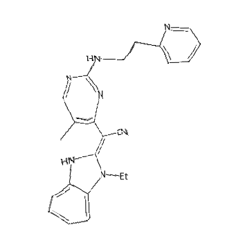 CCN1/C(=C(\C#N)c2nc(NCCc3ccccn3)ncc2C)Nc2ccccc21